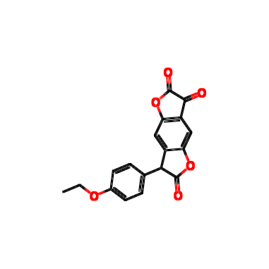 CCOc1ccc(C2C(=O)Oc3cc4c(cc32)OC(=O)C4=O)cc1